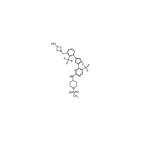 CS(=O)(=O)N1CCC(Nc2ncc(C(F)(F)F)c(-c3cn(-c4cccc(CN5CC(O)C5)c4C(F)(F)F)cn3)n2)CC1